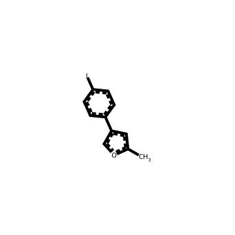 Cc1cc(-c2ccc(I)cc2)co1